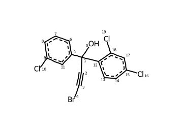 OC(C#CBr)(c1cccc(Cl)c1)c1ccc(Cl)cc1Cl